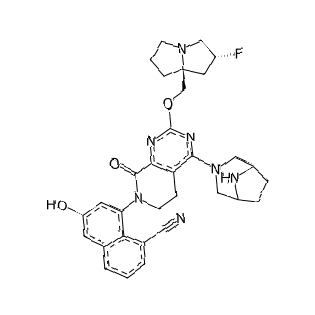 N#Cc1cccc2cc(O)cc(N3CCc4c(nc(OC[C@@]56CCCN5C[C@H](F)C6)nc4N4CC5CCC(C4)N5)C3=O)c12